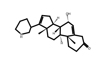 C[C@]12CCC(=O)CC1=C[C@@H](O)[C@@H]1[C@@H]2CC[C@]2(C)C(C3CCCNC3)=CC[C@@H]12